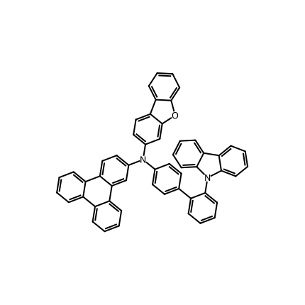 c1ccc(-n2c3ccccc3c3ccccc32)c(-c2ccc(N(c3ccc4c(c3)oc3ccccc34)c3ccc4c5ccccc5c5ccccc5c4c3)cc2)c1